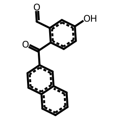 O=Cc1cc(O)ccc1C(=O)c1ccc2ccccc2c1